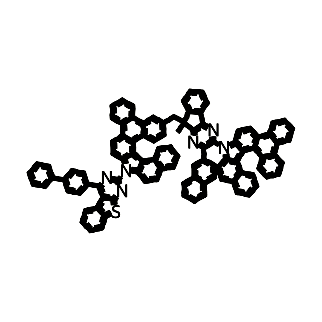 CC1(Cc2ccc3c(c2)c2ccccc2c2ccc4c(c23)c2c3ccccc3ccc2n4-c2nc(-c3ccc(-c4ccccc4)cc3)c3c(n2)sc2ccccc23)c2ccccc2-c2nc(-n3c4ccc5ccccc5c4c4c5c6ccccc6c6ccccc6c5ccc43)c(-c3ccc4ccccc4c3)nc21